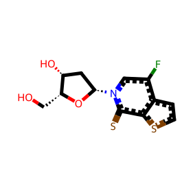 OC[C@H]1O[C@@H](n2cc(F)c3ccsc3c2=S)C[C@H]1O